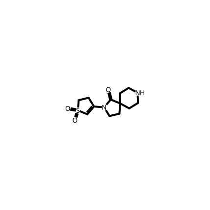 O=C1N(C2=CS(=O)(=O)CC2)CCC12CCNCC2